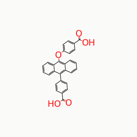 O=C(O)c1ccc(Oc2c3ccccc3c(-c3ccc(C(=O)O)cc3)c3ccccc23)cc1